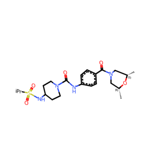 CC(C)S(=O)(=O)NC1CCN(C(=O)Nc2ccc(C(=O)N3C[C@@H](C)O[C@@H](C)C3)cc2)CC1